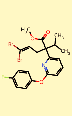 COC(=O)C(CC=C(Br)Br)(c1cccc(Oc2ccc(F)cc2)n1)C(C)C